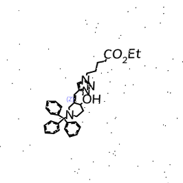 CCOC(=O)CCCCn1cc(/C=C2/CN(C(c3ccccc3)(c3ccccc3)c3ccccc3)CCC2O)nn1